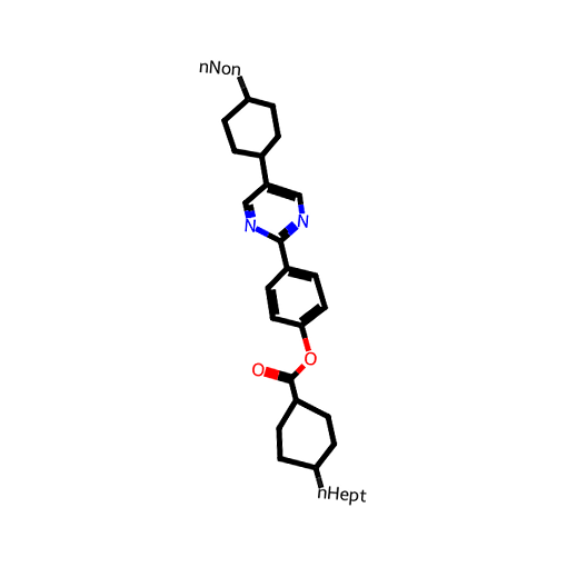 CCCCCCCCCC1CCC(c2cnc(-c3ccc(OC(=O)C4CCC(CCCCCCC)CC4)cc3)nc2)CC1